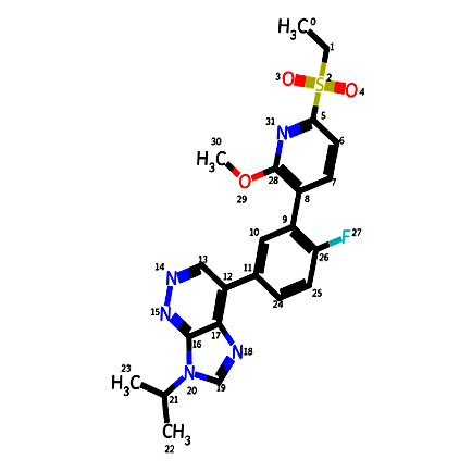 CCS(=O)(=O)c1ccc(-c2cc(-c3cnnc4c3ncn4C(C)C)ccc2F)c(OC)n1